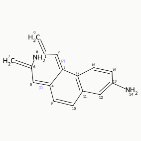 C=C/C=c1\c(=C/C(=C)N)ccc2cc(N)ccc12